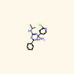 CC(C)NC1=NC(N)(c2ccnc(Cl)c2)NC(c2ccccc2)=N1